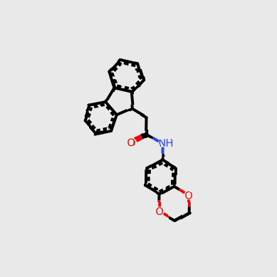 O=C(CC1c2ccccc2-c2ccccc21)Nc1ccc2c(c1)OCCO2